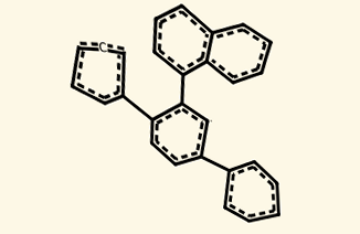 [c]1c(-c2ccccc2)ccc(-c2ccccc2)c1-c1cccc2ccccc12